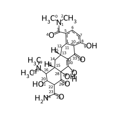 CN(C)C(=O)c1ccc(O)c2c1C[C@H]1C[C@H]3C(N(C)C)C(O)C(C(N)=O)C(=O)C3(O)C(O)=C1C2=O